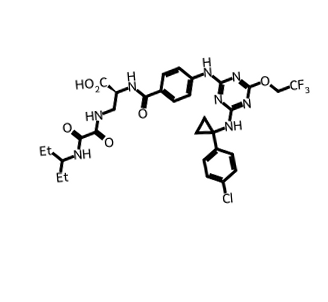 CCC(CC)NC(=O)C(=O)NC[C@H](NC(=O)c1ccc(Nc2nc(NC3(c4ccc(Cl)cc4)CC3)nc(OCC(F)(F)F)n2)cc1)C(=O)O